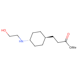 COC(=O)CC[C@H]1CC[C@H](NCCO)CC1